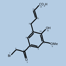 COc1cc(C(=O)CBr)cc(CC=CC(=O)O)c1O